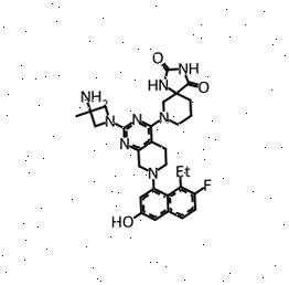 CCc1c(F)ccc2cc(O)cc(N3CCc4c(nc(N5CC(C)(N)C5)nc4N4CCCC5(C4)NC(=O)NC5=O)C3)c12